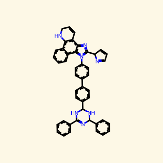 C1=CC(c2nc3c4c(c5ccccc5c3n2-c2ccc(-c3ccc(C5NC(c6ccccc6)=NC(c6ccccc6)N5)cc3)cc2)NCC=C4)N=C1